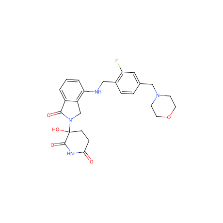 O=C1CCC(O)(N2Cc3c(NCc4ccc(CN5CCOCC5)cc4F)cccc3C2=O)C(=O)N1